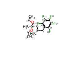 CCO[Si](C)(CC(C)Cc1c(F)c(F)c(F)c(F)c1F)OCC